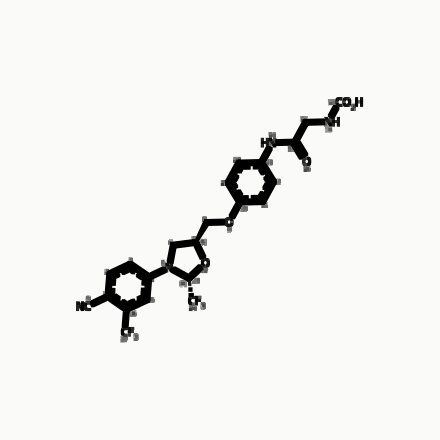 N#Cc1ccc(N2C[C@@H](COc3ccc(NC(=O)CNC(=O)O)cc3)O[C@@H]2C(F)(F)F)cc1C(F)(F)F